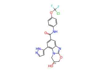 O=C(Nc1ccc(OC(F)(F)Cl)cc1)c1cc(-c2ccn[nH]2)c2c(c1)nc1n2C[C@H](O)CO1